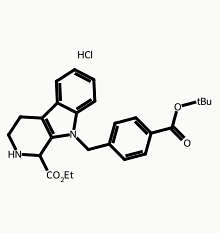 CCOC(=O)C1NCCc2c1n(Cc1ccc(C(=O)OC(C)(C)C)cc1)c1ccccc21.Cl